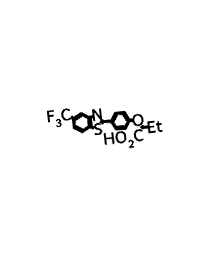 CCC(Oc1ccc(-c2nc3cc(C(F)(F)F)ccc3s2)cc1)C(=O)O